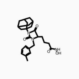 Cc1cccc(CN2C(=O)N(C34CC5CC(CC(C5)C3)C4)C(=O)C2CCCC(=O)NO)c1